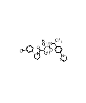 C[C@@H](NC(=O)[C@H](O)[C@@H](O)C(=O)N1CCC[C@@H]1c1cccc(Cl)c1)c1ccc(N2CCC=N2)cc1